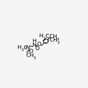 CCC(=O)N(C)CCNC(=O)OCc1ccc(C(C)(C)C)cc1